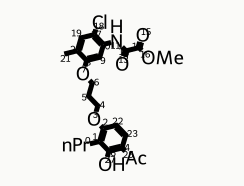 CCCc1c(OCCCOc2cc(NC(=O)C(=O)OC)c(Cl)cc2C)ccc(C(C)=O)c1O